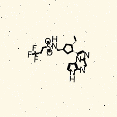 CC[C@H]1C[C@H](CNS(=O)(=O)CCC(F)(F)F)C[C@H]1c1cnc2cnc3[nH]ccc3n12